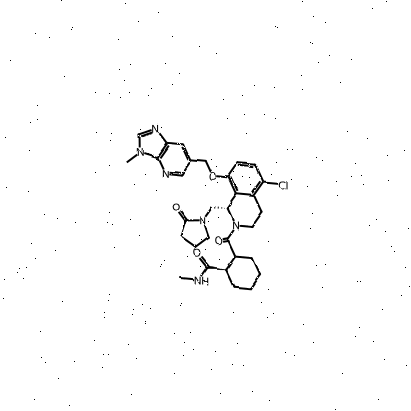 CNC(=O)[C@@H]1CCCCC1C(=O)N1CCc2c(Cl)ccc(OCc3cnc4c(c3)ncn4C)c2[C@H]1CN1CCCC1=O